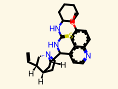 C=C[C@@H]1C[N@]2CC[C@H]1C[C@H]2C(NC(=S)NC1CCCCC1)c1ccnc2ccc(OC)cc12